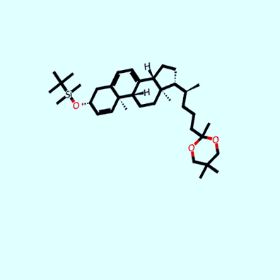 C[C@@H](CCCC1(C)OCC(C)(C)CO1)[C@H]1CC[C@H]2C3=CC=C4C[C@@H](O[Si](C)(C)C(C)(C)C)C=C[C@]4(C)[C@H]3CC[C@]12C